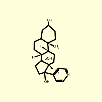 C[C@]12CCC(O)CC1CC[C@@H]1[C@H]2CC[C@]2(C)C(O)(c3ccncc3)CC[C@@]12O